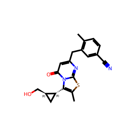 Cc1ccc(C#N)cc1Cc1cc(=O)n2c([C@@H]3C[C@H]3CO)c(C)sc2n1